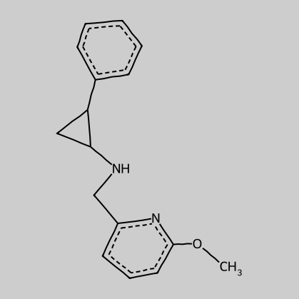 COc1cccc(CNC2CC2c2ccccc2)n1